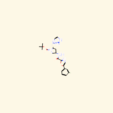 CC(C)(C)OC(=O)N1CC(NC(=O)c2ncc(-c3cccc(Cl)c3)o2)CC1Cn1ccnn1